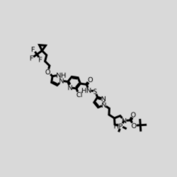 CC(C)(C)OC(=O)N1CC(CCn2ccc(SNC(=O)c3ccc(N4C=CC(OCCCC5(C(F)(F)F)CC5)N4)nc3Cl)n2)C[PH]1(C)C